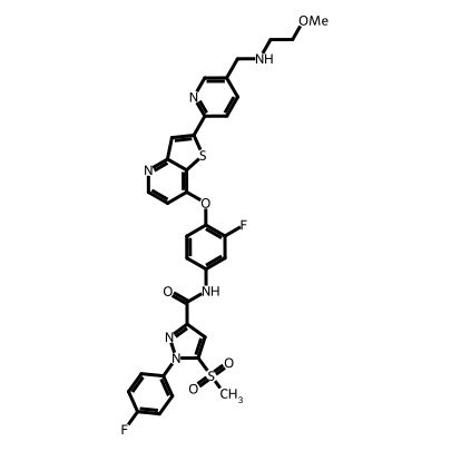 COCCNCc1ccc(-c2cc3nccc(Oc4ccc(NC(=O)c5cc(S(C)(=O)=O)n(-c6ccc(F)cc6)n5)cc4F)c3s2)nc1